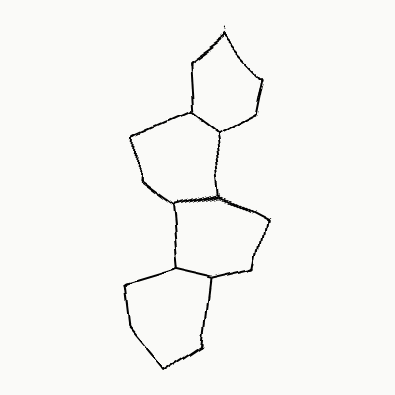 [CH]1CCC2C(C1)CCC1C3CCCCC3CCC21